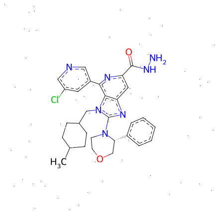 CC1CCC(Cn2c(N3CCOC[C@H]3c3ccccc3)nc3cc(C(=O)NN)nc(-c4cncc(Cl)c4)c32)CC1